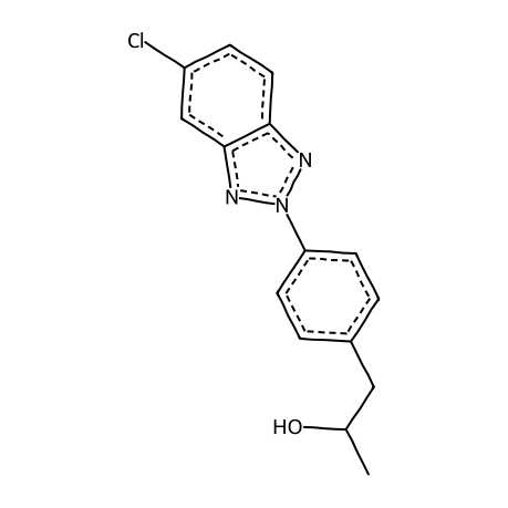 CC(O)Cc1ccc(-n2nc3ccc(Cl)cc3n2)cc1